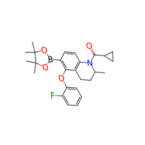 CC1CCc2c(ccc(B3OC(C)(C)C(C)(C)O3)c2Oc2ccccc2F)N1C(=O)C1CC1